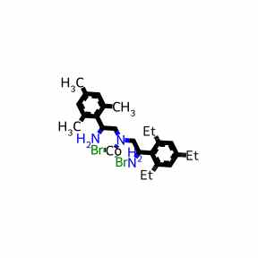 CCc1cc(CC)c(C(N)C[N](CC(N)c2c(C)cc(C)cc2C)[Co]([Br])[Br])c(CC)c1